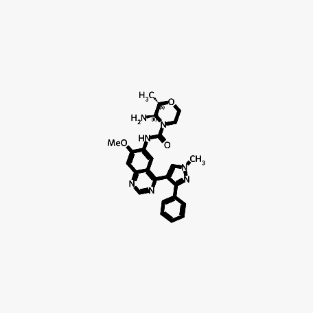 COc1cc2ncnc(-c3cn(C)nc3-c3ccccc3)c2cc1NC(=O)N1CCO[C@@H](C)[C@@H]1N